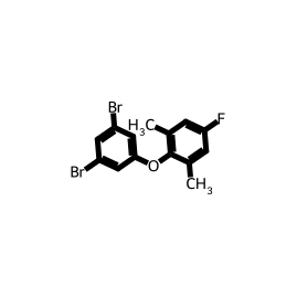 Cc1cc(F)cc(C)c1Oc1cc(Br)cc(Br)c1